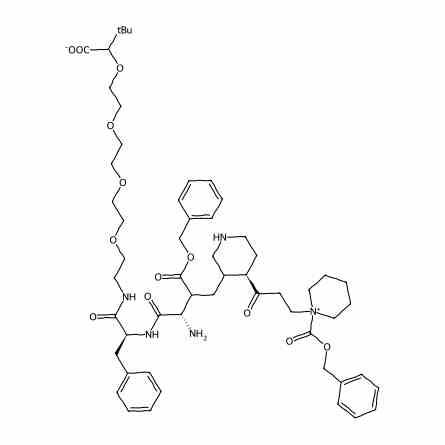 CC(C)(C)C(OCCOCCOCCOCCNC(=O)[C@H](Cc1ccccc1)NC(=O)[C@@H](N)C(CC1CNCC[C@H]1C(=O)CC[N+]1(C(=O)OCc2ccccc2)CCCCC1)C(=O)OCc1ccccc1)C(=O)[O-]